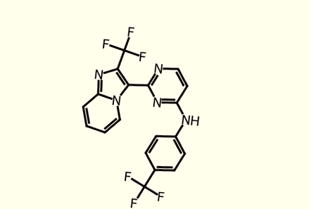 FC(F)(F)c1ccc(Nc2ccnc(-c3c(C(F)(F)F)nc4ccccn34)n2)cc1